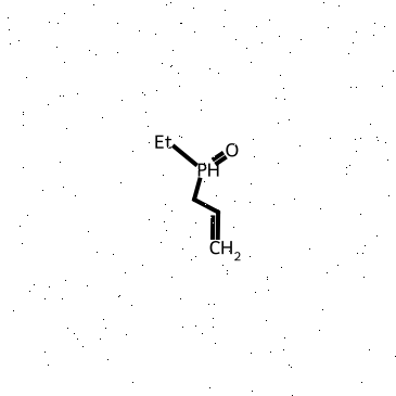 C=CC[PH](=O)CC